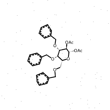 CC(=O)O[C@@H]1O[C@H](COCc2ccccc2)[C@H](OCc2ccccc2)[C@H](OCc2ccccc2)[C@H]1OC(C)=O